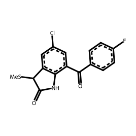 CSC1C(=O)Nc2c(C(=O)c3ccc(F)cc3)cc(Cl)cc21